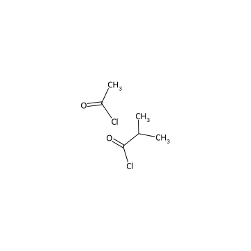 CC(=O)Cl.CC(C)C(=O)Cl